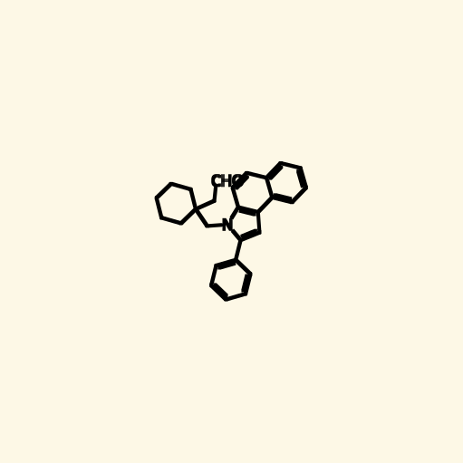 O=CCC1(Cn2c(-c3ccccc3)cc3c4ccccc4ccc32)CCCCC1